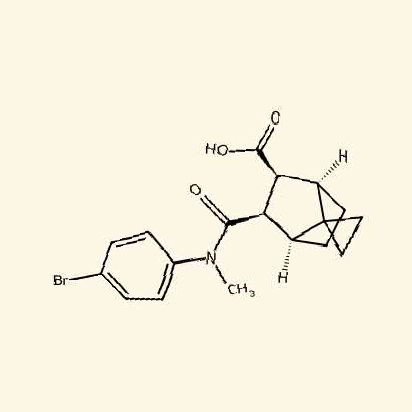 CN(C(=O)[C@H]1[C@@H](C(=O)O)[C@H]2CC[C@@H]1C21CC1)c1ccc(Br)cc1